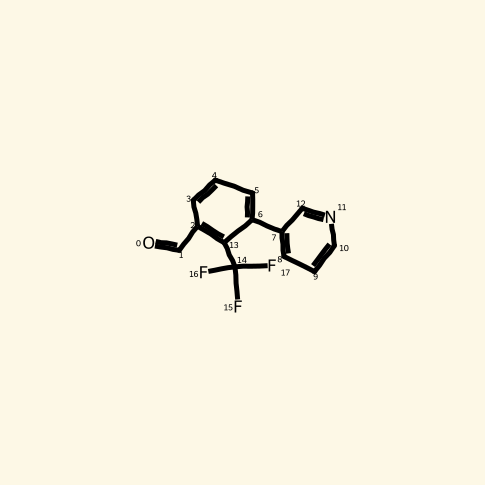 O=Cc1cccc(-c2cccnc2)c1C(F)(F)F